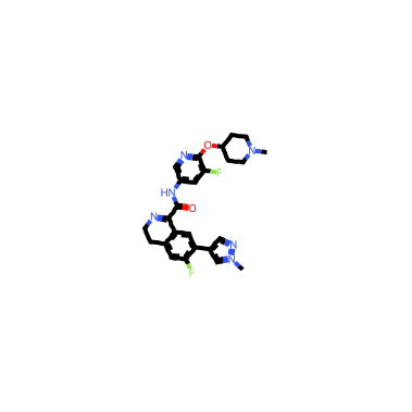 CN1CCC(Oc2ncc(NC(=O)C3=NCCc4cc(F)c(-c5cnn(C)c5)cc43)cc2F)CC1